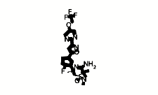 CN=[S@@]1(=O)C[C@@](C)(c2cc(-c3cc(-c4ncc(OCC(F)(F)F)cn4)no3)ccc2F)N=C(N)C1(C)C